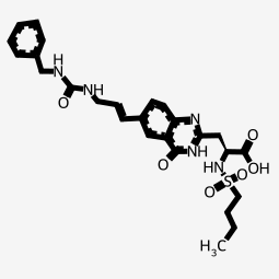 CCCCS(=O)(=O)N[C@@H](Cc1nc2ccc(C=CCNC(=O)NCc3ccccc3)cc2c(=O)[nH]1)C(=O)O